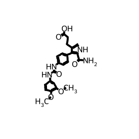 COc1ccc(NC(=O)Nc2ccc(-c3c(CCC(=O)O)c[nH]c3C(N)=O)cc2)cc1OC